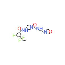 C=CC(F)(F)c1cc(F)cc(C(=O)NCC2CCN(C(=O)CNCCCN3CCOCC3)CC2)c1